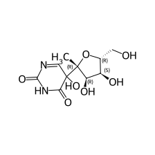 C[C@@]1(C2(O)C=NC(=O)NC2=O)O[C@H](CO)[C@@H](O)[C@H]1O